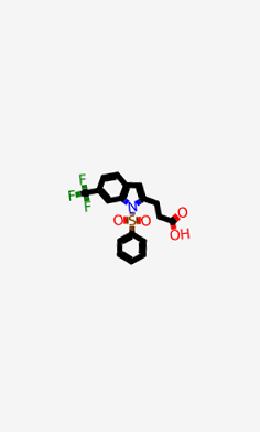 O=C(O)CCc1cc2ccc(C(F)(F)F)cc2n1S(=O)(=O)c1ccccc1